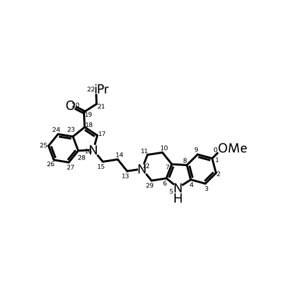 COc1ccc2[nH]c3c(c2c1)CCN(CCCn1cc(C(=O)CC(C)C)c2ccccc21)C3